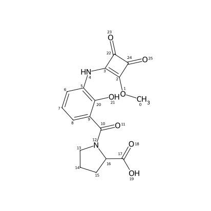 COc1c(Nc2cccc(C(=O)N3CCCC3C(=O)O)c2O)c(=O)c1=O